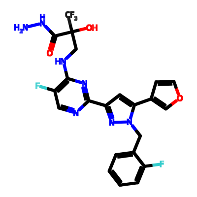 NNC(=O)C(O)(CNc1nc(-c2cc(-c3ccoc3)n(Cc3ccccc3F)n2)ncc1F)C(F)(F)F